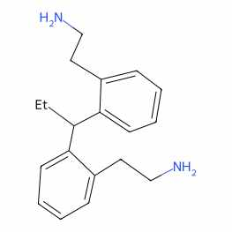 CCC(c1ccccc1CCN)c1ccccc1CCN